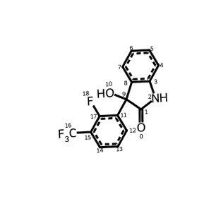 O=C1Nc2ccccc2C1(O)c1cccc(C(F)(F)F)c1F